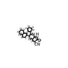 N#Cc1cc2nc(-c3ccc4ncccc4c3)c(-c3ccccc3)nc2[nH]c1=O